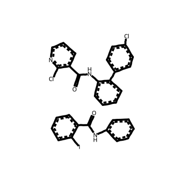 O=C(Nc1ccccc1)c1ccccc1I.O=C(Nc1ccccc1-c1ccc(Cl)cc1)c1cccnc1Cl